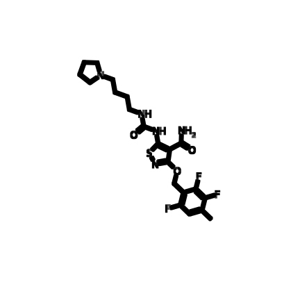 Cc1cc(F)c(COc2nsc(NC(=O)NCCCCN3CCCC3)c2C(N)=O)c(F)c1F